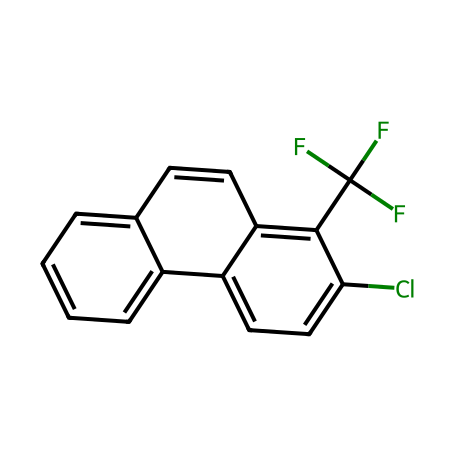 FC(F)(F)c1c(Cl)ccc2c1ccc1ccccc12